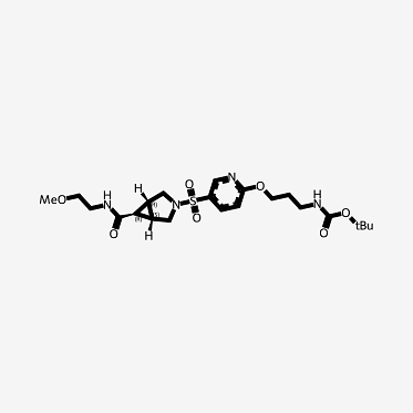 COCCNC(=O)[C@H]1[C@@H]2CN(S(=O)(=O)c3ccc(OCCCNC(=O)OC(C)(C)C)nc3)C[C@@H]21